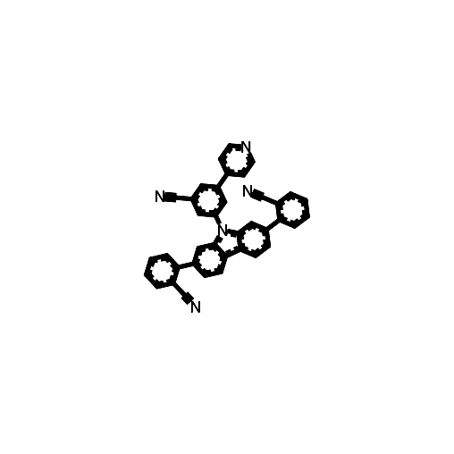 N#Cc1cc(-c2ccncc2)cc(-n2c3cc(-c4ccccc4C#N)ccc3c3ccc(-c4ccccc4C#N)cc32)c1